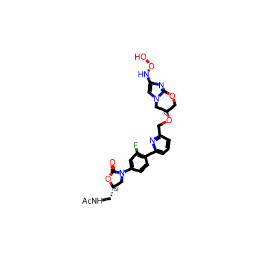 CC(=O)NC[C@H]1CN(c2ccc(-c3cccc(CO[C@@H]4COc5nc(NOO)cn5C4)n3)c(F)c2)C(=O)O1